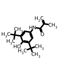 C=C(C)C(=O)Nc1cc(C(C)(C)C)c(O)c(C(C)(C)C)c1